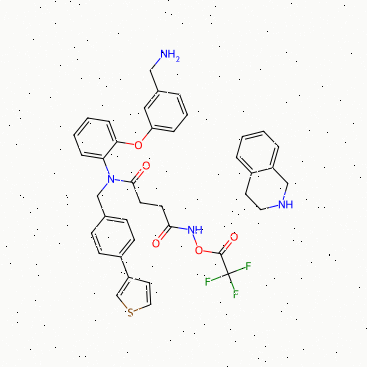 NCc1cccc(Oc2ccccc2N(Cc2ccc(-c3ccsc3)cc2)C(=O)CCC(=O)NOC(=O)C(F)(F)F)c1.c1ccc2c(c1)CCNC2